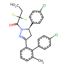 Cc1cccc(C2=NN(C(=O)C(F)(F)CC(=O)O)[C@@H](c3ccc(Cl)cc3)C2)c1-c1ccc(Cl)cc1